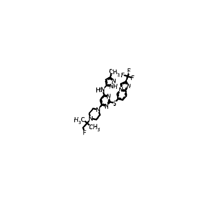 Cc1cc(Nc2cc(N3CCN(C(C)(C)CF)CC3)nc(Sc3ccc4nc(C(F)(F)F)cn4c3)n2)[nH]n1